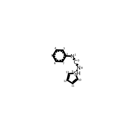 C(=Nc1ccccc1)=N[SH]1C=CC=C1